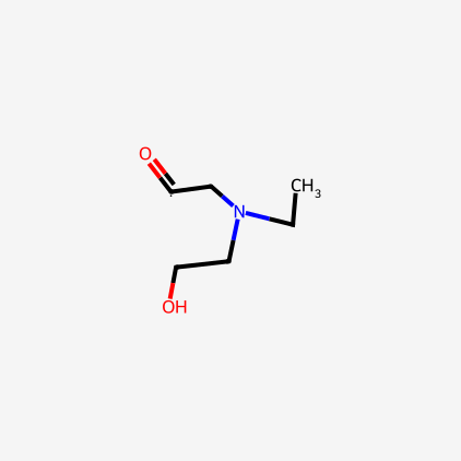 CCN(C[C]=O)CCO